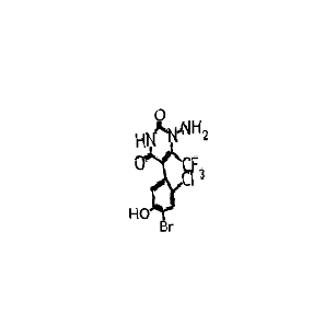 Nn1c(C(F)(F)F)c(-c2cc(O)c(Br)cc2Cl)c(=O)[nH]c1=O